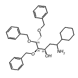 NC(C[C@@H](O)[C@@H](OCc1ccccc1)[C@@H](COCc1ccccc1)OCc1ccccc1)C1CCCCC1